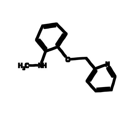 CNc1ccccc1OCc1ccccn1